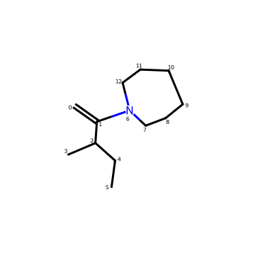 C=C(C(C)CC)N1CCCCCC1